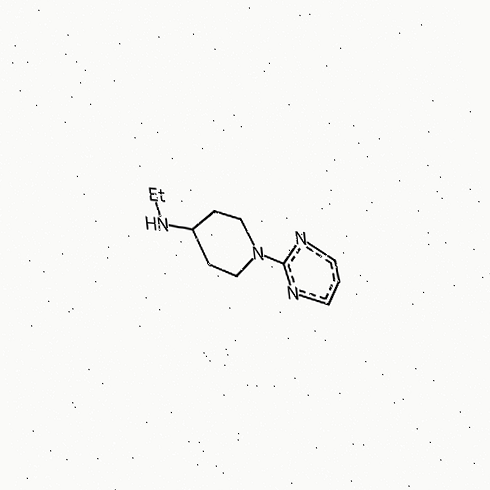 CCNC1CCN(c2ncccn2)CC1